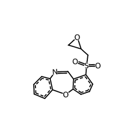 O=S(=O)(CC1CO1)c1cccc2c1C=Nc1ccccc1O2